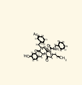 C=CCN1CC(=O)N2[C@@H](Cc3ccc(O)cc3)C(=O)N(Cc3cccc(C(C)=O)c3)C[C@@H]2N1C(=O)NCc1ccccc1